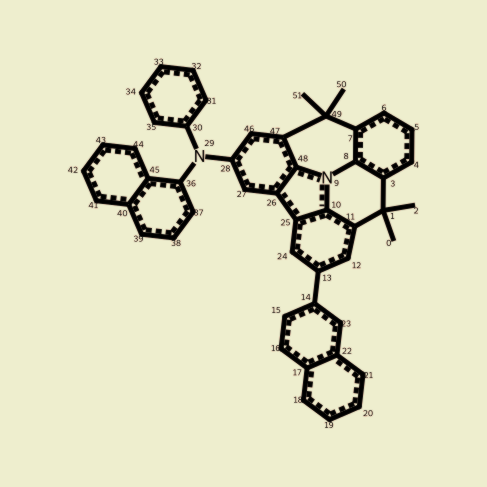 CC1(C)c2cccc3c2-n2c4c1cc(-c1ccc5ccccc5c1)cc4c1cc(N(c4ccccc4)c4cccc5ccccc45)cc(c12)C3(C)C